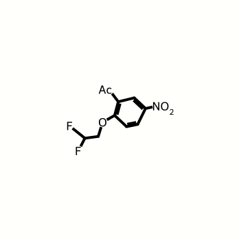 CC(=O)c1cc([N+](=O)[O-])ccc1OCC(F)F